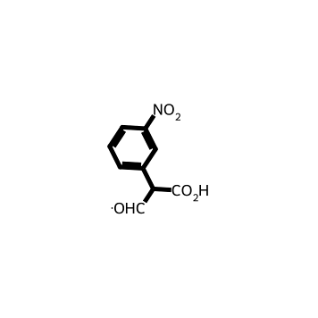 O=[C]C(C(=O)O)c1cccc([N+](=O)[O-])c1